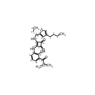 CCCCc1coc([C@@H](CC)Nc2c(Nc3cccc(C(=O)N(C)C)c3O)c(=O)c2=O)c1